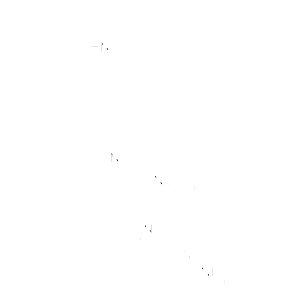 NS/C=C(\N)C(=O)N1CCN(C(=O)c2ccc(N[SH](=O)=O)c(F)c2)CC1